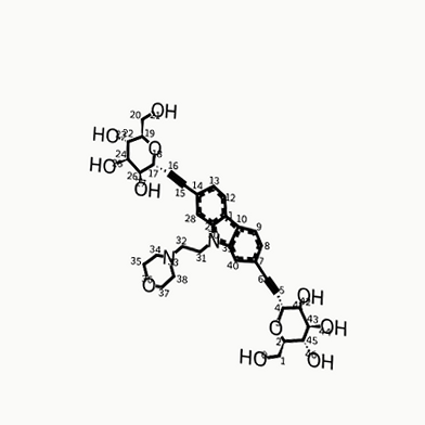 OC[C@H]1O[C@H](C#Cc2ccc3c4ccc(C#C[C@H]5O[C@H](CO)[C@@H](O)[C@H](O)[C@@H]5O)cc4n(CCN4CCOCC4)c3c2)[C@@H](O)[C@@H](O)[C@@H]1O